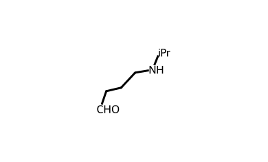 CC(C)NCCCC=O